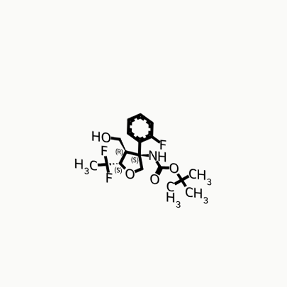 CC(C)(C)OC(=O)N[C@@]1(c2ccccc2F)CO[C@H](C(C)(F)F)[C@H]1CO